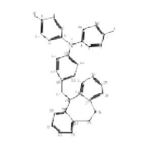 Cc1ccc(N(c2ccc(C)cc2)c2ccc(CC3c4ccccc4CCc4ccccc43)cc2)cc1